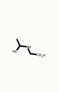 CC(S)NCC(=O)O